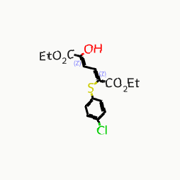 CCOC(=O)/C(O)=C/C=C(\Sc1ccc(Cl)cc1)C(=O)OCC